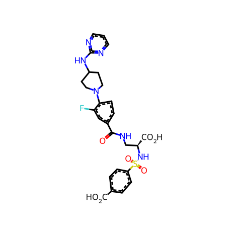 O=C(O)c1ccc(S(=O)(=O)N[C@@H](CNC(=O)c2ccc(N3CCC(Nc4ncccn4)CC3)c(F)c2)C(=O)O)cc1